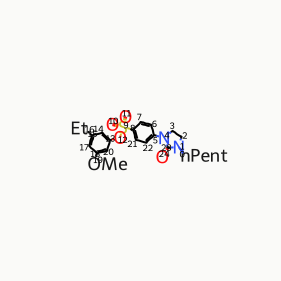 CCCCCN1CCN(c2ccc(S(=O)(=O)Oc3cc(CC)cc(OC)c3)cc2)C1=O